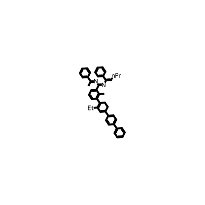 CCC/C=C(/N=C(\N=C(/C)c1ccccc1)c1cccc(C2=C(CC)C=C(c3ccc(-c4ccccc4)cc3)CC2)c1C)c1ccccc1